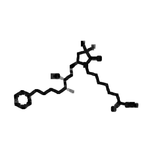 COC(=O)CCCCCCN1C(=O)C(F)(F)C[C@@H]1CC[C@@H](O)[C@H](C)CCCCc1ccccc1